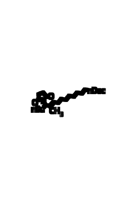 CCCCCCCCCCCCCCCCCCC=C(C)C(CCCC)N1C(=O)CCC1=O